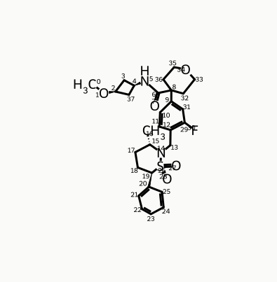 CO[C@H]1C[C@@H](NC(=O)C2(c3ccc(CN4[C@@H](C)CC[C@H](c5ccccc5)S4(=O)=O)c(F)c3)CCOCC2)C1